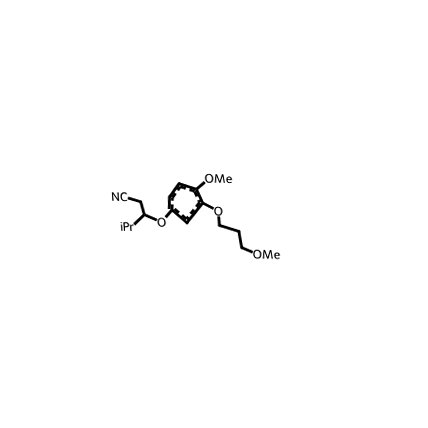 COCCCOc1cc(OC(CC#N)C(C)C)ccc1OC